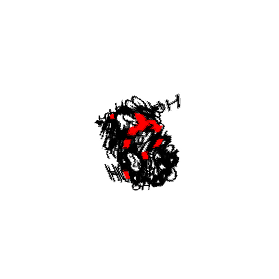 CN[C@H](CC(C)C)C(=O)N[C@H]1C(=O)N[C@@H](CC(N)=O)C(=O)NC2C(=O)N[C@H]3C(=O)N[C@H](C(=O)N[C@@H](C(=O)NCc4cccc(NC(=O)c5ccc(C)c(OCc6ccccc6)c5N=O)c4)c4cc(O)cc(O)c4-c4cc3ccc4O)[C@H](O)c3ccc(c(Cl)c3)Oc3cc2cc(c3O[C@@H]2O[C@H](CO)[C@@H](O)[C@H](O)[C@H]2O[C@H]2C[C@](C)(N)[C@H](O)[C@H](C)O2)Oc2ccc(cc2Cl)[C@H]1O